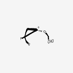 O=CO[C@H]1CC1(F)F